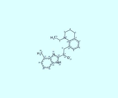 CCN1CCCc2cccc(C[S+]([O-])c3nc4c(C)cccc4[nH]3)c21